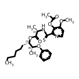 CCCCCC[C@H](OC(=O)[C@H](C)NC(=S)c1nccc(OC)c1OC(C)=O)[C@@H](C)Oc1ccccc1